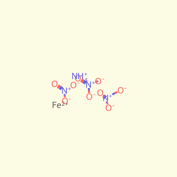 O=[N+]([O-])[O-].O=[N+]([O-])[O-].O=[N+]([O-])[O-].[Fe+2].[NH4+]